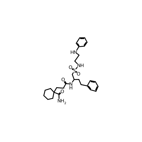 NC(=O)C1(C[CH]C(=O)NC(CCc2ccccc2)CS(=O)(=O)NCCNc2ccccc2)CCCCC1